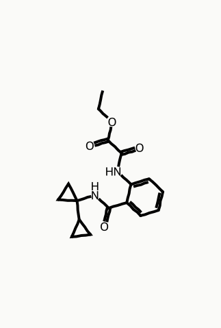 CCOC(=O)C(=O)Nc1ccccc1C(=O)NC1(C2CC2)CC1